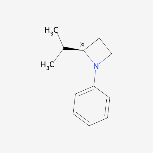 CC(C)[C@H]1CCN1c1ccccc1